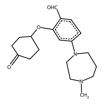 CN1CCCN(c2ccc(C=O)c(OC3CCC(=O)CC3)c2)CC1